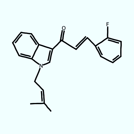 CC(C)=CCn1cc(C(=O)C=Cc2ccccc2F)c2ccccc21